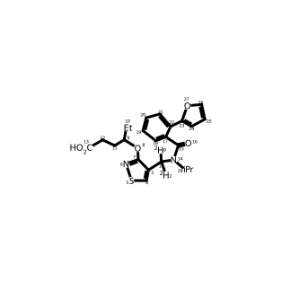 [2H]C([2H])(c1csnc1OC(CC)CCC(=O)O)N(C(=O)c1ccccc1-c1ccco1)C(C)C